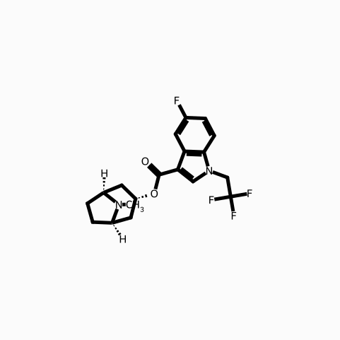 CN1[C@@H]2CC[C@H]1C[C@H](OC(=O)c1cn(CC(F)(F)F)c3ccc(F)cc13)C2